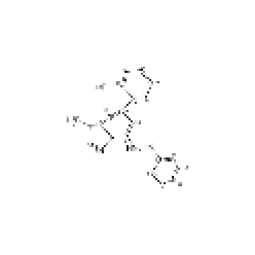 Bc1cnn2c(NCc3ccnnc3)cc(-c3ccccc3F)nc12